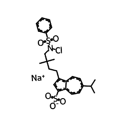 CC(C)c1ccc2c(CCC(C)(C)CN(Cl)S(=O)(=O)c3ccccc3)cc(S(=O)(=O)[O-])c-2cc1.[Na+]